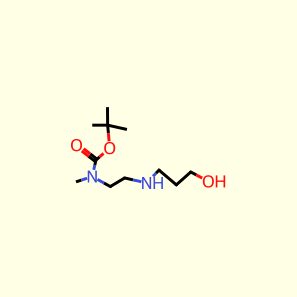 CN(CCNCCCO)C(=O)OC(C)(C)C